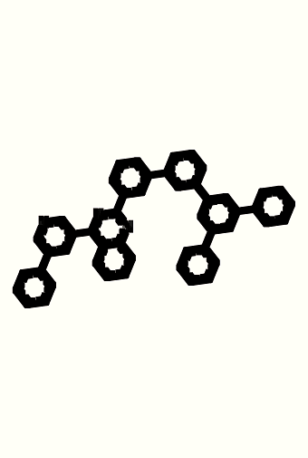 c1ccc(-c2cc(-c3ccccc3)cc(-c3cccc(-c4cccc(-c5nc(-c6cncc(-c7ccccc7)c6)c6ccccc6n5)c4)c3)c2)cc1